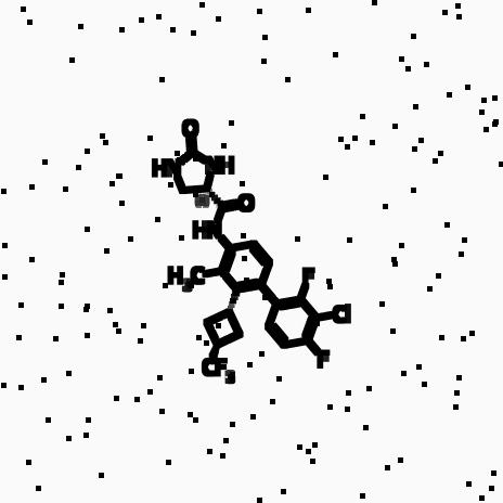 Cc1c(NC(=O)[C@@H]2CNC(=O)N2)ccc(-c2ccc(F)c(Cl)c2F)c1[C@H]1C[C@H](C(F)(F)F)C1